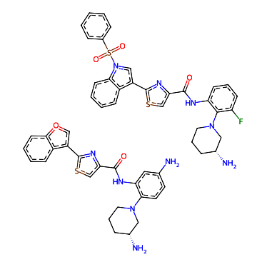 N[C@@H]1CCCN(c2c(F)cccc2NC(=O)c2csc(-c3cn(S(=O)(=O)c4ccccc4)c4ccccc34)n2)C1.Nc1ccc(N2CCC[C@@H](N)C2)c(NC(=O)c2csc(-c3coc4ccccc34)n2)c1